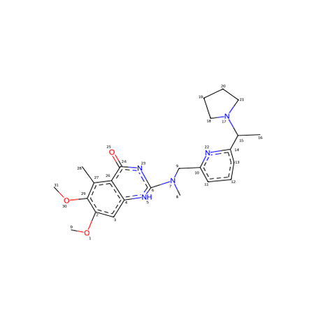 COc1cc2[nH]c(N(C)Cc3cccc(C(C)N4CCCC4)n3)nc(=O)c2c(C)c1OC